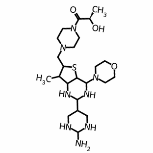 CC1C(CN2CCN(C(=O)[C@@H](C)O)CC2)SC2C1NC(C1CNC(N)NC1)NC2N1CCOCC1